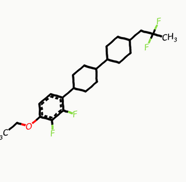 CCOc1ccc(C2CCC(C3CCC(CC(C)(F)F)CC3)CC2)c(F)c1F